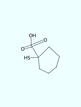 O=S(=O)(O)C1(S)CCCCC1